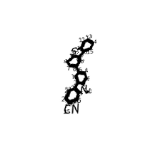 Cn1c2ccc(-c3ccc4sc5ccccc5c4c3)cc2c2ccc(C#N)cc21